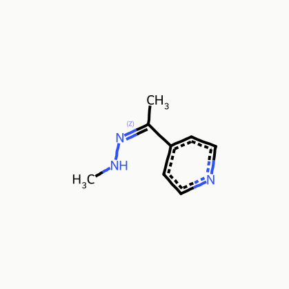 CN/N=C(/C)c1ccncc1